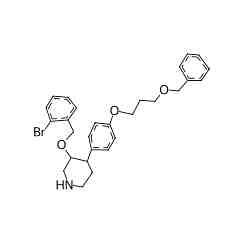 Brc1ccccc1COC1CNCCC1c1ccc(OCCCOCc2ccccc2)cc1